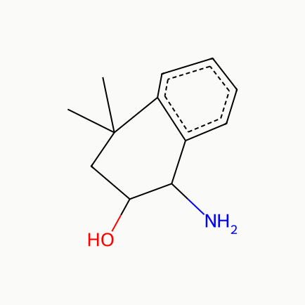 CC1(C)CC(O)C(N)c2ccccc21